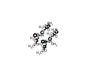 CCOC(=O)c1cc(Cn2c(NC3CCN(CCc4c(C)nc5n(C)ccn5c4=O)CC3)nc3ccccc32)c(C)o1.CCOC(=O)c1cc(Cn2c(NC3CCN(CCc4c(C)nc5n(C)ccn5c4=O)CC3)nc3ccccc32)c(C)o1.O